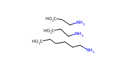 NCCC(=O)O.NCCC(=O)O.NCCCCCC(=O)O